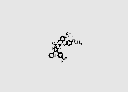 COc1ccc(CSc2nc3c(-c4ccc(C(F)F)cc4)c(-c4ccccn4)nn3c(=O)n2Cc2ccc(OC)cc2)cc1